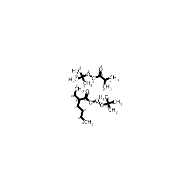 CC(C)C(=O)OOC(C)(C)C.CCCCC(CC)C(=O)OOOC(C)(C)C